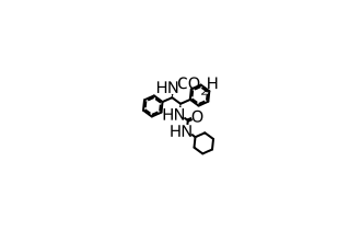 O=C(O)N[C@@H](c1ccccc1)[C@@H](NC(=O)NC1CCCCC1)c1ccccc1